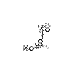 CC(C)c1ccccc1N1C(=O)CS/C1=N\N=C\c1ccc2c(C(=O)Nc3ccc(OC(F)(F)F)cc3)nn(C)c2c1